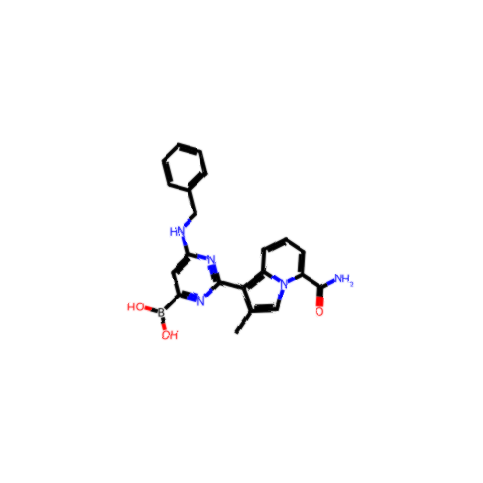 Cc1cn2c(C(N)=O)cccc2c1-c1nc(NCc2ccccc2)cc(B(O)O)n1